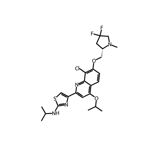 CC(C)Nc1nc(-c2cc(OC(C)C)c3ccc(OC[C@@H]4CC(F)(F)CN4C)c(Cl)c3n2)cs1